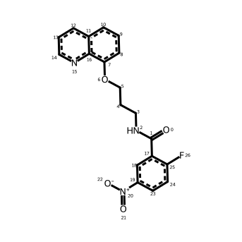 O=C(NCCCOc1cccc2cccnc12)c1cc([N+](=O)[O-])ccc1F